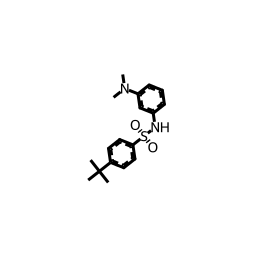 CN(C)c1cccc(NS(=O)(=O)c2ccc(C(C)(C)C)cc2)c1